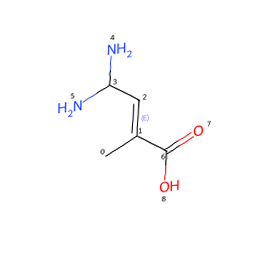 C/C(=C\C(N)N)C(=O)O